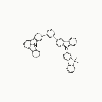 CC1(C)c2ccccc2-c2ccc(-n3c4ccccc4c4cc(-c5cccc(-c6ccc7c8cccc9c%10ccccc%10n(c7c6)c98)c5)ccc43)cc21